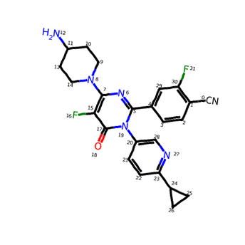 N#Cc1ccc(-c2nc(N3CCC(N)CC3)c(F)c(=O)n2-c2ccc(C3CC3)nc2)cc1F